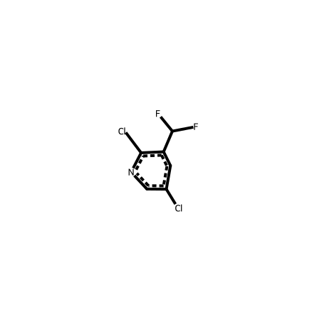 FC(F)c1cc(Cl)cnc1Cl